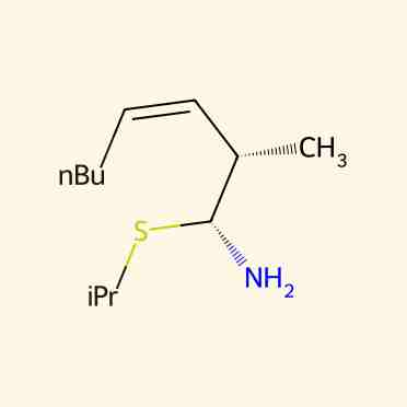 CCCC/C=C\[C@H](C)[C@H](N)SC(C)C